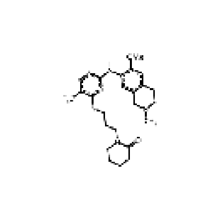 COc1cc2c(cc1Nc1ncc(C(F)(F)F)c(NCCCN3CCCCC3=O)n1)CN(C)CC2